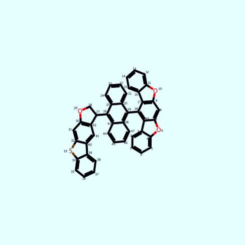 c1ccc2c(c1)oc1cc3oc4ccccc4c3c(-c3c4ccccc4c(C4COc5cc6sc7ccccc7c6cc54)c4ccccc34)c12